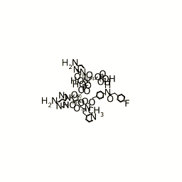 CN(C(=O)OCc1ccc(NC(=O)Cc2ccc(F)cc2)cc1)[C@@H](Cc1cccnc1)C(=O)O[C@H]1[C@@H](O)[C@H](n2cnc3c(N)ncnc32)O[C@@H]1COP(=O)(O)O[C@H]1[C@@H](O)[C@H](n2ccc(N)nc2=O)O[C@@H]1COP(=O)(O)O